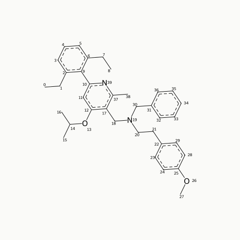 CCc1cccc(CC)c1-c1cc(OC(C)C)c(CN(CCc2ccc(OC)cc2)Cc2ccccc2)c(C)n1